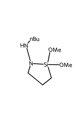 CCCCNN1CCC[Si]1(OC)OC